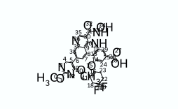 COc1ncc(-c2ccc3c(Nc4cc(OC5CCC(F)(F)CC5)cc(C(=O)O)c4)c(C(=O)NO)cnc3c2)c(OC)n1